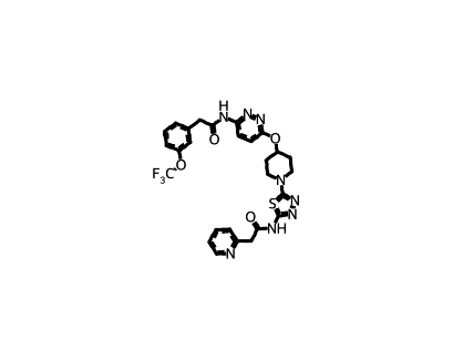 O=C(Cc1cccc(OC(F)(F)F)c1)Nc1ccc(OC2CCN(c3nnc(NC(=O)Cc4ccccn4)s3)CC2)nn1